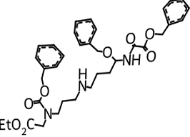 CCOC(=O)CN(CCCNCCCC(NC(=O)C(=O)OCc1ccccc1)OCc1ccccc1)C(=O)OCc1ccccc1